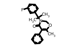 CC1=C(c2ccccc2)C(=O)N(C(C)(C)c2cccc(F)c2)CO1